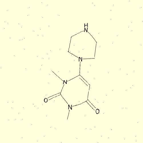 Cn1c(N2CCNCC2)cc(=O)n(C)c1=O